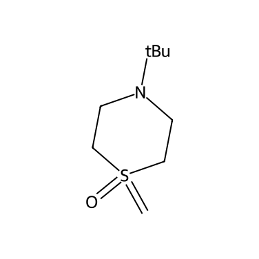 C=S1(=O)CCN(C(C)(C)C)CC1